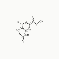 O=C1COc2c(F)cc(C(=O)CCl)cc2N1